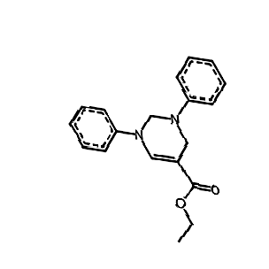 CCOC(=O)C1=CN(c2ccccc2)CN(c2ccccc2)C1